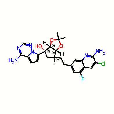 CC1(C)O[C@@H]2[C@H](O1)[C@@](C)(CCc1cc(F)c3cc(Cl)c(N)nc3c1)C[C@@]2(O)c1ccc2c(N)ncnn12